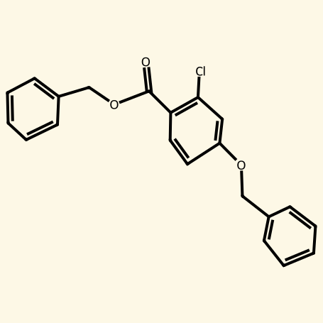 O=C(OCc1ccccc1)c1ccc(OCc2ccccc2)cc1Cl